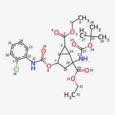 CCOC(=O)C1C2C(OC(=O)Nc3ccccc3Cl)CC(NC(=O)OC(C)(C)C)(C(=O)OCC)C12